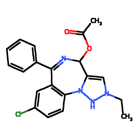 CCN1C=C2C(OC(C)=O)N=C(c3ccccc3)c3cc(Cl)ccc3N2N1